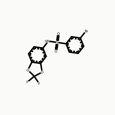 O=S(=O)(Nc1ccc2c(c1)OC(F)(F)O2)c1cccc(Br)c1